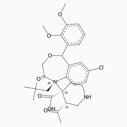 COc1cccc(C2OCC(=O)[N@@+](CC(C)(C)C)([C@@]3(C(=O)O)CCNC[C@@H]3C(C)=O)c3ccc(Cl)cc32)c1OC